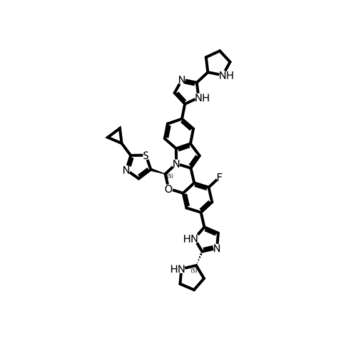 Fc1cc(-c2cnc([C@@H]3CCCN3)[nH]2)cc2c1-c1cc3cc(-c4cnc(C5CCCN5)[nH]4)ccc3n1[C@H](c1cnc(C3CC3)s1)O2